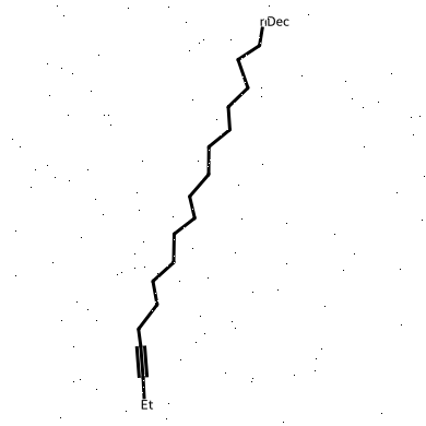 [CH2]CC#CCCCCCCCCCCCCCCCCCCCCCCC[CH2]